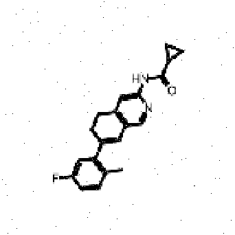 Cc1ccc(F)cc1C1=Cc2cnc(NC(=O)C3CC3)cc2CC1